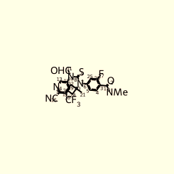 CNC(=O)c1ccc(N(C(=S)N(C=O)c2cnc(C#N)c(C(F)(F)F)c2)C2(C)CCC2)cc1F